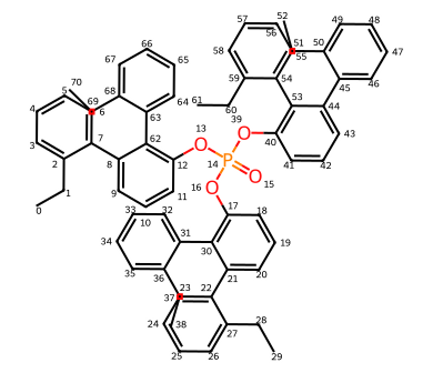 CCc1ccccc1-c1cccc(OP(=O)(Oc2cccc(-c3ccccc3CC)c2-c2ccccc2CC)Oc2cccc(-c3ccccc3CC)c2-c2ccccc2CC)c1-c1ccccc1CC